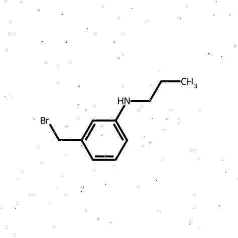 CCCNc1cccc(CBr)c1